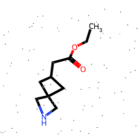 CCOC(=O)CC1CC2(CNC2)C1